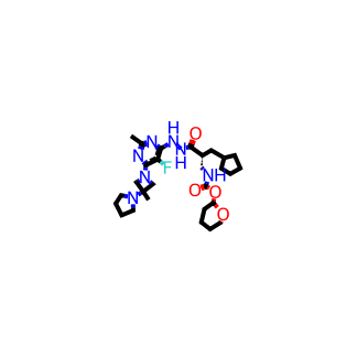 Cc1nc(NNC(=O)[C@@H](CNC(=O)OC2CCCCO2)CC2CCCC2)c(F)c(N2CC(C)(N3CCCC3)C2)n1